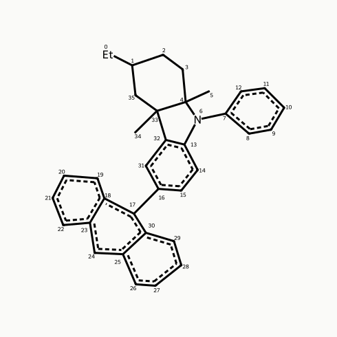 CCC1CCC2(C)N(c3ccccc3)c3ccc(-c4c5ccccc5cc5ccccc45)cc3C2(C)C1